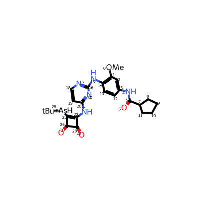 COc1cc(NC(=O)C2CCCC2)ccc1Nc1nccc(Nc2c([AsH]C(C)(C)C)c(=O)c2=O)n1